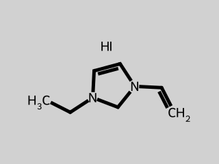 C=CN1C=CN(CC)C1.I